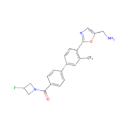 NCc1cnc(-c2ccc(-c3ccc(C(=O)N4CC(F)C4)cc3)cc2C(F)(F)F)o1